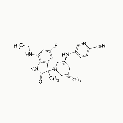 CCNc1cc(F)cc2c1NC(=O)C2(C)N1C[C@@H](C)C[C@H](Nc2ccc(C#N)nc2)C1